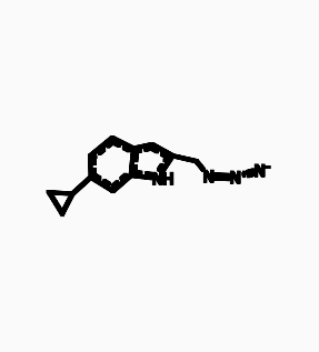 [N-]=[N+]=NCc1cc2ccc(C3CC3)cc2[nH]1